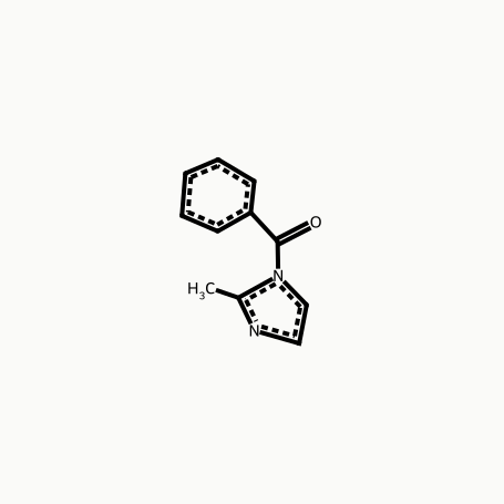 Cc1nccn1C(=O)c1ccccc1